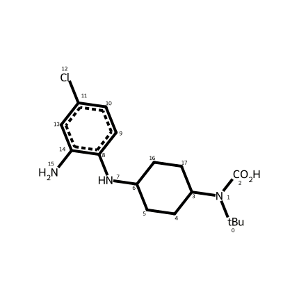 CC(C)(C)N(C(=O)O)C1CCC(Nc2ccc(Cl)cc2N)CC1